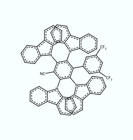 N#Cc1c(-n2c3ccccc3c3ccccc32)c(-n2c3ccccc3c3ccccc32)c(-c2cc(C(F)(F)F)cc(C(F)(F)F)c2)c(-n2c3ccccc3c3ccccc32)c1-n1c2ccccc2c2ccccc21